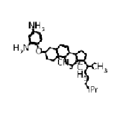 CC(C)CCCC(C)C1CCC2C3C=CC4CC(Oc5ccc(N)cc5N)CCC4(C)C3CC[C@]12C